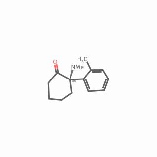 CN[C@@]1(c2ccccc2C)CCCCC1=O